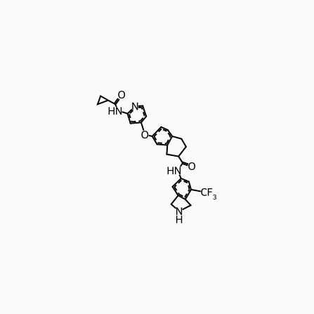 O=C(Nc1cc2c(c(C(F)(F)F)c1)CNC2)C1CCc2ccc(Oc3ccnc(NC(=O)C4CC4)c3)cc2C1